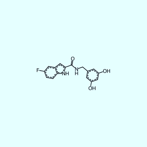 O=C(NCc1cc(O)cc(O)c1)c1cc2cc(F)ccc2[nH]1